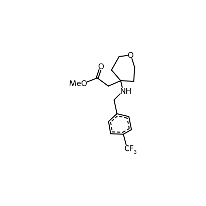 COC(=O)CC1(NCc2ccc(C(F)(F)F)cc2)CCOCC1